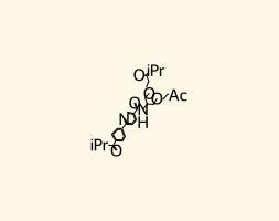 CC(=O)CCOCC(COCCC(=O)C(C)C)NC(=O)c1ccc(-c2ccc(C(=O)C(C)C)cc2)nc1